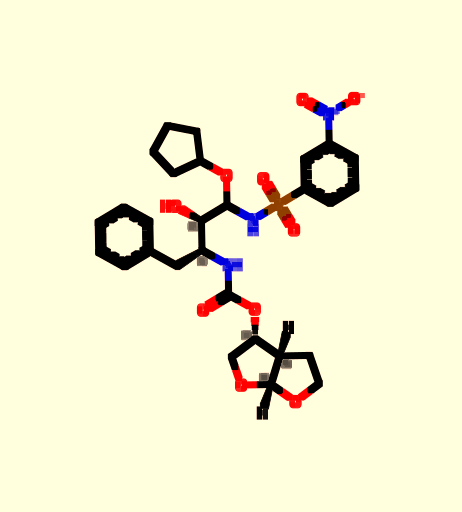 O=C(N[C@@H](Cc1ccccc1)[C@@H](O)C(NS(=O)(=O)c1cccc([N+](=O)[O-])c1)OC1CCCC1)O[C@H]1CO[C@H]2OCC[C@H]21